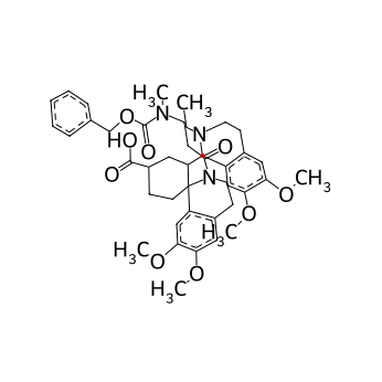 CCN1CCc2cc(OC)c(OC)cc2C1C1CC(C(=O)O)CCC12c1cc(OC)c(OC)cc1CCN2C(=O)CCN(C)C(=O)OCc1ccccc1